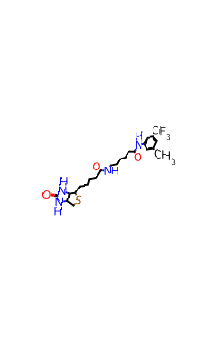 Cc1cc(NC(=O)CCCCCNC(=O)CCCCC2SCC3NC(=O)NC32)cc(C(F)(F)F)c1